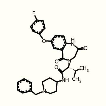 CC(C)[C@H](C(=O)NC1CCN(Cc2ccccc2)CC1)N1CC(=O)Nc2ccc(Oc3ccc(F)cc3)cc2C1=O